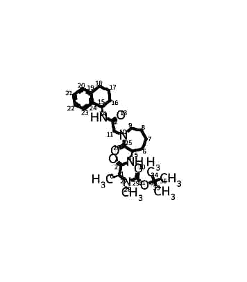 C[C@@H](C(=O)N[C@@H]1CCCCN(CC(=O)N[C@@H]2CCCc3ccccc32)C1=O)N(C)C(=O)OC(C)(C)C